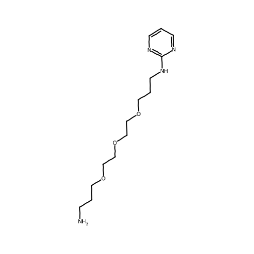 NCCCOCCOCCOCCCNc1ncccn1